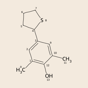 Cc1cc(C2CCCS2)cc(C)c1O